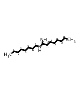 CCCCCCCCNC(N)CCCCCCC